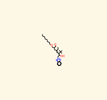 CCCCCCCCOCC(C=O)C/C(=C/C(=C(/O)Cn1nc2ccccc2n1)C(C)(C)C)CC